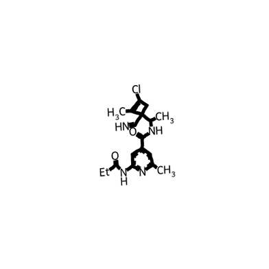 CCC(=O)Nc1cc(C(=O)NC(C)C2(C=N)CC(Cl)=C2C)cc(C)n1